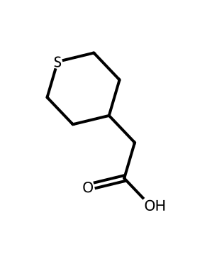 O=C(O)CC1CCSCC1